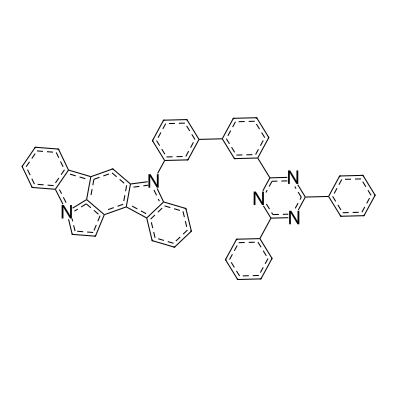 c1ccc(-c2nc(-c3ccccc3)nc(-c3cccc(-c4cccc(-n5c6ccccc6c6c7ccn8c9ccccc9c(cc65)c78)c4)c3)n2)cc1